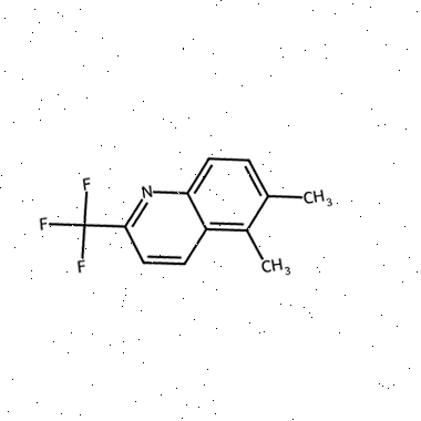 Cc1ccc2nc(C(F)(F)F)ccc2c1C